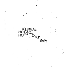 CCCOCCOCCOCCOC1O[C@H](CO)[C@H](O)[C@H](O)[C@H]1NC(C)=O